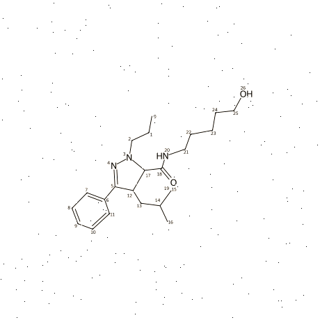 CCCN1N=C(c2ccccc2)C(CC(C)C)C1C(=O)NCCCCCO